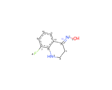 O/N=C1\CCNc2c(F)cccc21